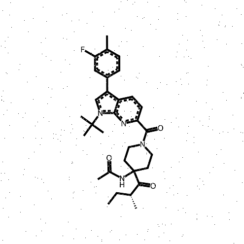 CC[C@@H](C)C(=O)C1(NC(C)=O)CCN(C(=O)c2ccc3c(-c4ccc(C)c(F)c4)cn(C(C)(C)C)c3n2)CC1